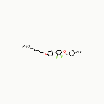 CCCC1CCC(COc2ccc(-c3ccc(OCCCCCCOC)cc3)c(F)c2F)CC1